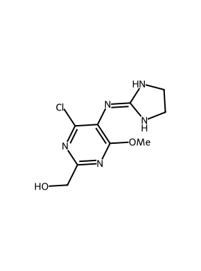 COc1nc(CO)nc(Cl)c1N=C1NCCN1